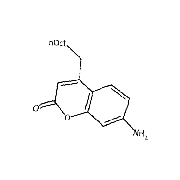 CCCCCCCCCc1cc(=O)oc2cc(N)ccc12